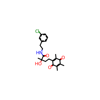 CC1=C(C)C(=O)C(CCC(C)(O)C(=O)NCCc2cccc(Cl)c2)=C(C)C1=O